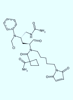 NC(=O)NC[C@H](C[C@@H](C=O)N(CCCCCN1C(=O)C=CC1=O)C(=O)C1(C(N)=O)CCC1)N(CCl)c1ccccc1